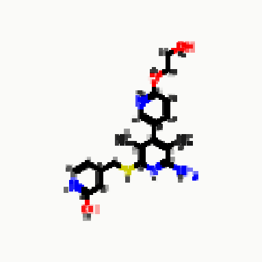 [C-]#[N+]c1c(N)nc(SCc2ccnc(O)c2)c(C#N)c1-c1ccc(OCCO)nc1